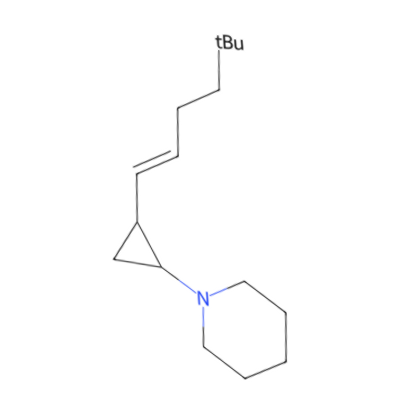 CC(C)(C)CCC=CC1CC1N1CCCCC1